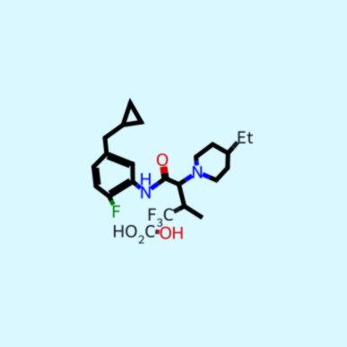 CCC1CCN(C(C(=O)Nc2cc(CC3CC3)ccc2F)C(C)C(F)(F)F)CC1.O=C(O)O